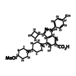 COC1CCN(C2CCN(c3c(C)c(C(=O)O)nc4c3c(C3CCC3)nn4-c3ccc(F)cc3)CC2)CC1